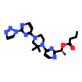 CCCC(=O)O[C@H](C)c1nccc(N2CCN(c3ccnc(-n4ccnn4)n3)CC2(C)C)n1